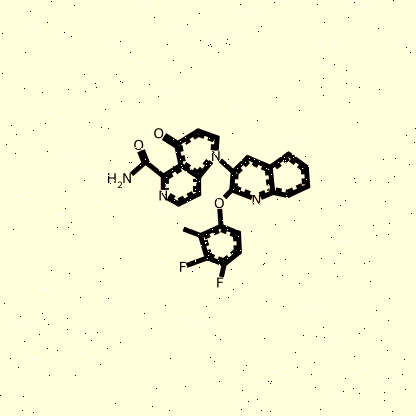 Cc1c(Oc2nc3ccccc3cc2-n2ccc(=O)c3c(C(N)=O)nccc32)ccc(F)c1F